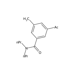 CCCN(CCC)C(=O)c1cc(C)cc(C(C)=O)c1